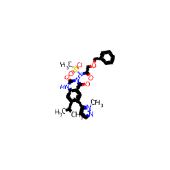 CC(C)c1cc2[nH]c(=O)n(N(C(=O)COCc3ccccc3)S(C)(=O)=O)c(=O)c2cc1-c1ccnn1C